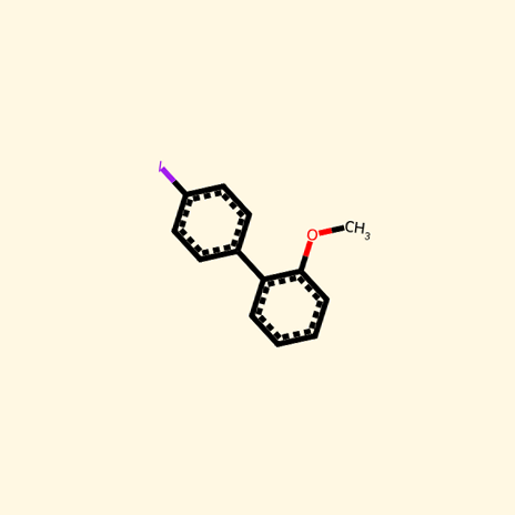 COc1ccccc1-c1ccc(I)cc1